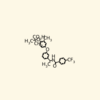 Cc1cc(Oc2cccc(C(C)NC(=O)c3ccc(C(F)(F)F)cc3)c2)ccc1OC(C)(C)C(=O)O